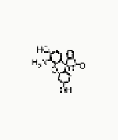 Nc1c(O)ccc2c1Oc1cc(O)ccc1C21OC(=O)c2ccccc21